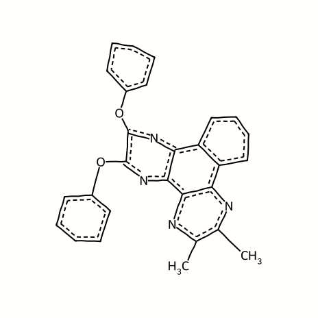 Cc1nc2c3ccccc3c3nc(Oc4ccccc4)c(Oc4ccccc4)nc3c2nc1C